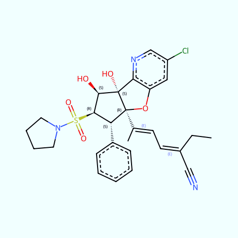 CC/C(C#N)=C\C=C(/C)[C@@]12Oc3cc(Cl)cnc3[C@]1(O)[C@H](O)[C@H](S(=O)(=O)N1CCCC1)[C@H]2c1ccccc1